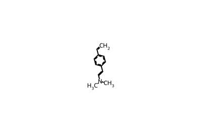 C=Cc1ccc(/C=C/N(C)C)cc1